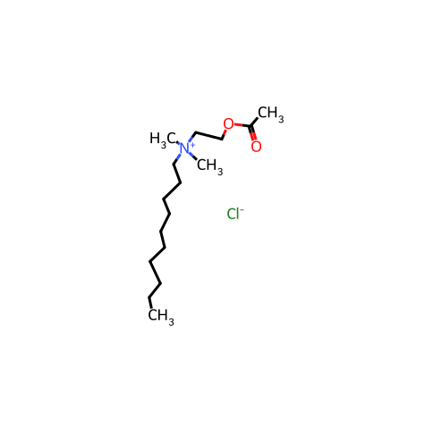 CCCCCCCCCC[N+](C)(C)CCOC(C)=O.[Cl-]